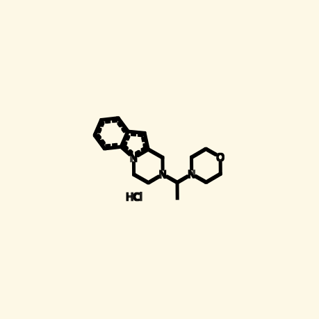 CC(N1CCOCC1)N1CCn2c(cc3ccccc32)C1.Cl